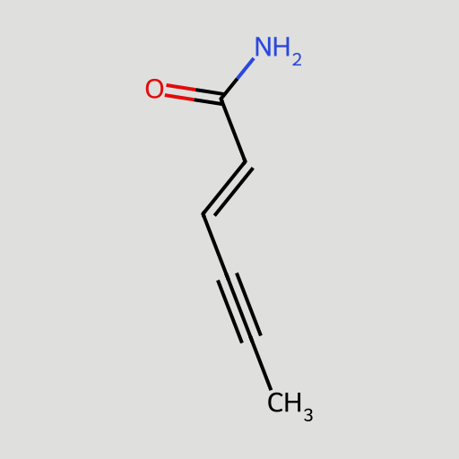 CC#CC=CC(N)=O